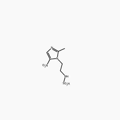 Cc1ncc([N+](=O)[O-])n1CCNS(=O)(=O)O